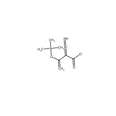 C=C(O[Si](C)(C)C)C(=[N+]=N)C(=O)[O-]